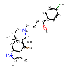 CCc1c(C)[nH]c2c1C(=S)[C@@H]1CN(CCCC(=O)c3ccc(F)cc3)CC[C@H]1C2